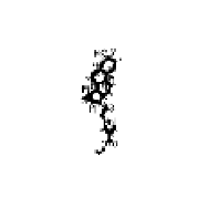 CCOC(=O)c1cnn(CC(=O)[C@H]2[C@H]3C[C@H]3[C@H]3[C@@H]4CC[C@@H]5C[C@](C)(O)CC[C@@H]5[C@H]4CC[C@@]32C)c1